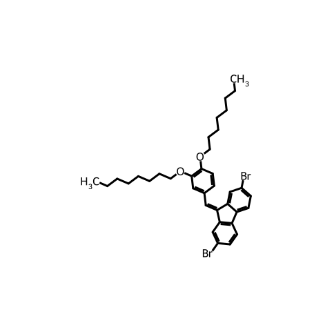 CCCCCCCCOc1ccc(C=C2c3cc(Br)ccc3-c3ccc(Br)cc32)cc1OCCCCCCCC